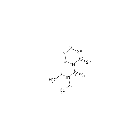 CCN(CC)C(=S)N1CCCSC1=S